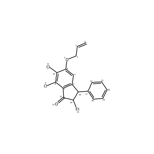 C=CCOc1cc2c(c(Cl)c1Cl)C(=O)C(CC)C2c1ccccc1